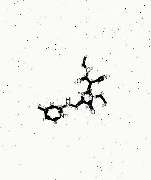 CCOC(=O)C(C#N)=c1sc(=CNc2cc(C)ccn2)c(=O)n1CC